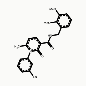 COc1cccc(CNC(=O)c2ccc(C)n(-c3cccc(C#N)c3)c2=O)c1OC